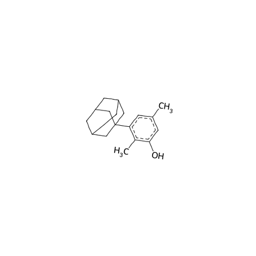 Cc1cc(O)c(C)c(C23CC4CC(CC(C4)C2)C3)c1